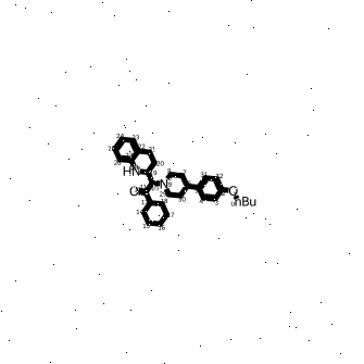 CCCCOc1ccc(C2CCN(C(C(=O)C3CCCCC3)C3CCc4ccccc4N3)CC2)cc1